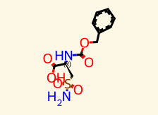 NS(=O)(=O)C[C@H](NC(=O)OCc1ccccc1)C(=O)O